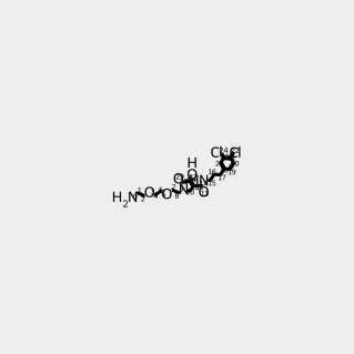 NCCOCCOCCN1CC(C(=O)NCCCc2ccc(Cl)c(Cl)c2)=C(O)C1=O